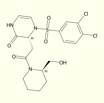 O=C1NC=CN(S(=O)(=O)c2ccc(Cl)c(Cl)c2)[C@@H]1CC(=O)N1CCCC[C@@H]1CO